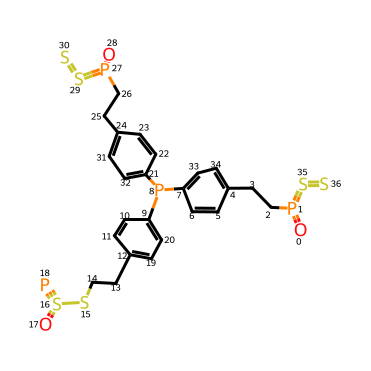 O=P(CCc1ccc(P(c2ccc(CCSS(=O)#P)cc2)c2ccc(CCP(=O)=S=S)cc2)cc1)=S=S